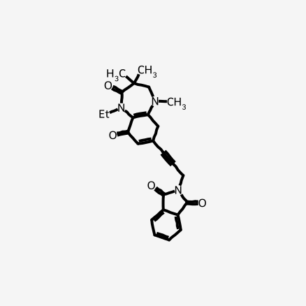 CCN1C(=O)C(C)(C)CN(C)C2=C1C(=O)C=C(C#CCN1C(=O)c3ccccc3C1=O)C2